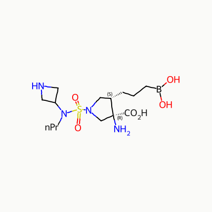 CCCN(C1CNC1)S(=O)(=O)N1C[C@H](CCCB(O)O)[C@](N)(C(=O)O)C1